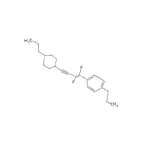 CCCc1ccc(/C(F)=C(\F)C#CC2CCC(CCC)CC2)cc1